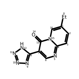 CCc1ccc2ncc(-c3nnn[nH]3)c(=O)n2c1